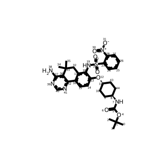 CC(C)(C)OC(=O)N[C@H]1CC[C@H](Oc2ccc3c(c2NS(=O)(=O)c2ccccc2[N+](=O)[O-])CC(C)(C)c2c(N)ncnc2-3)CC1